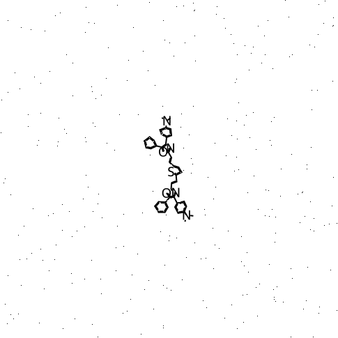 CN(C)c1ccc(-c2nc(C=Cc3ccc(C=Cc4nc(-c5ccc(N(C)C)cc5)c(-c5ccccc5)o4)s3)oc2-c2ccccc2)cc1